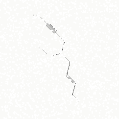 CC(=O)OCC=CCN(CC#CC=O)OC(C)(C)C